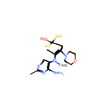 CC(=C(CC(O)(S)S)N1CCOCC1)N(C=O)c1cnc(C)nc1N